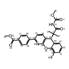 COC(=O)NC(=O)C(C)(C)[C@@H]1c2ccc(-c3ccc(C(=O)OC)cc3)nc2Oc2c(F)cccc21